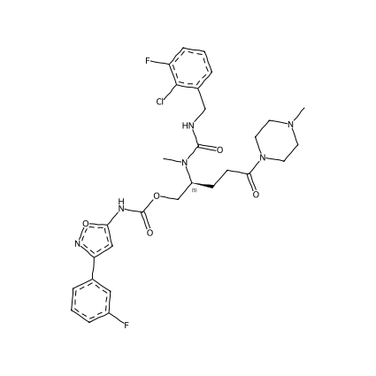 CN1CCN(C(=O)CC[C@@H](COC(=O)Nc2cc(-c3cccc(F)c3)no2)N(C)C(=O)NCc2cccc(F)c2Cl)CC1